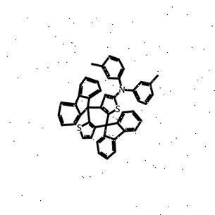 Cc1cccc(N(c2cccc(C)c2)c2cc3c(s2)C2(c4ccccc4-c4ccccc42)c2ccsc2C32c3ccccc3-c3ccccc32)c1